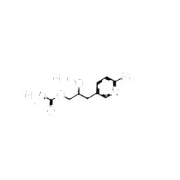 COC(COC(N)=O)Cc1ccc(Br)nc1